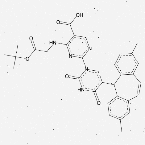 Cc1ccc2c(c1)C=Cc1cc(C)ccc1C2c1cn(-c2ncc(C(=O)O)c(NCC(=O)OC(C)(C)C)n2)c(=O)[nH]c1=O